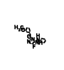 COc1cccc(COc2ncc(F)c(NNc3ccccc3)n2)c1